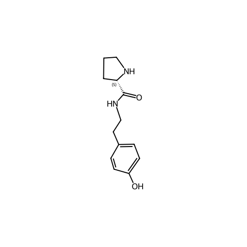 O=C(NCCc1ccc(O)cc1)[C@@H]1CCCN1